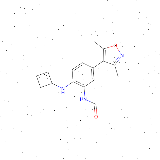 Cc1noc(C)c1-c1ccc(NC2CCC2)c(NC=O)c1